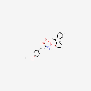 CC(C)Oc1ccc(CCC(C(=O)OC(C)(C)C)N(C)C(=O)OCC2c3ccccc3-c3ccccc32)cc1